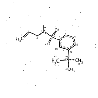 C=CCNS(=O)(=O)c1cccc(C(C)(C)C)c1